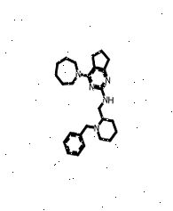 c1ccc(CN2CCCCC2CNc2nc3c(c(N4CCCCCC4)n2)CCC3)cc1